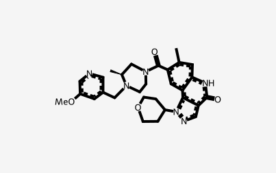 COc1cncc(CN2CCN(C(=O)c3cc4c(cc3C)[nH]c(=O)c3cnn(C5CCOCC5)c34)C[C@@H]2C)c1